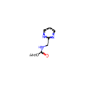 COC(=O)NCc1ncccn1